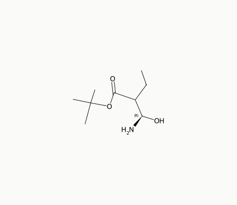 CCC(C(=O)OC(C)(C)C)[C@H](N)O